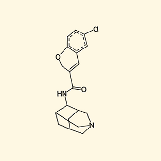 O=C(NC1C2CC3CC1CN(C3)C2)C1=Cc2cc(Cl)ccc2OC1